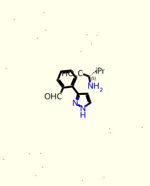 CC(C)[C@H](N)C(=O)O.O=Cc1ccccc1-c1cc[nH]n1